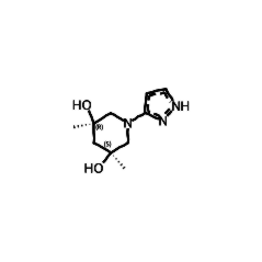 C[C@]1(O)CN(c2cc[nH]n2)C[C@@](C)(O)C1